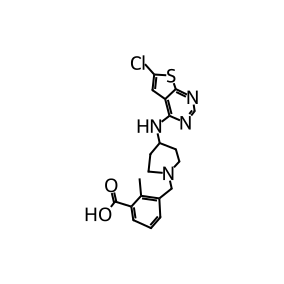 Cc1c(CN2CCC(Nc3ncnc4sc(Cl)cc34)CC2)cccc1C(=O)O